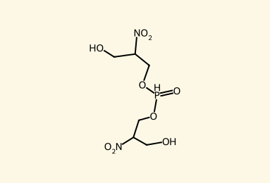 O=[N+]([O-])C(CO)CO[PH](=O)OCC(CO)[N+](=O)[O-]